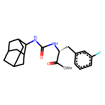 COC(=O)[C@@H](Cc1cccc(F)c1)NC(=O)NC1C2CC3CC(C2)CC1C3